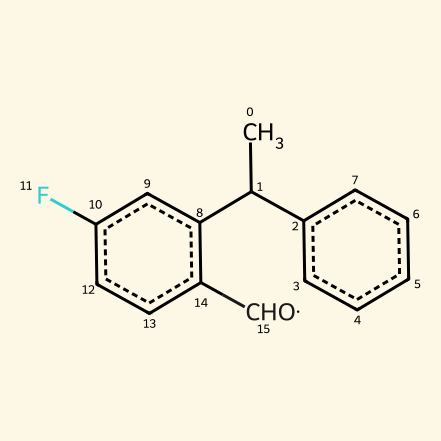 CC(c1ccccc1)c1cc(F)ccc1[C]=O